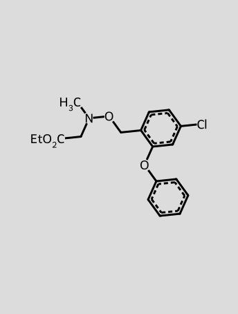 CCOC(=O)CN(C)OCc1ccc(Cl)cc1Oc1ccccc1